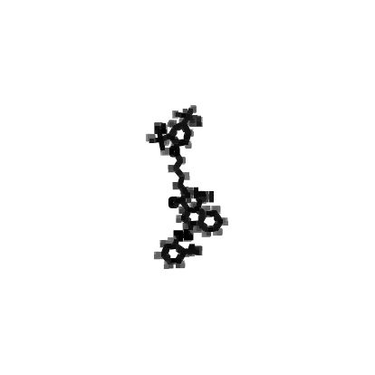 CCC(C)(C)c1ccc(OCCCCNC(=O)c2cc(N=Nc3ccccc3C(C)=O)c3ccccc3c2O)c(C(C)(C)CC)c1